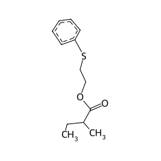 CCC(C)C(=O)OCCSc1ccccc1